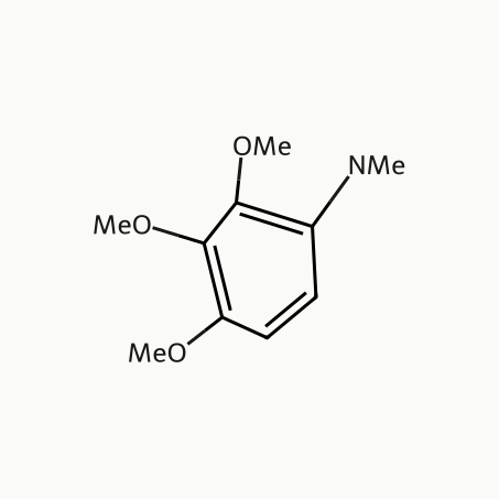 [CH2]Nc1ccc(OC)c(OC)c1OC